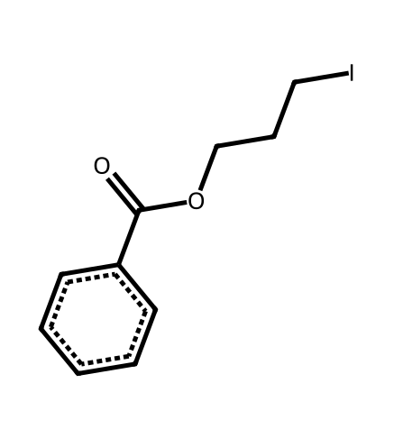 O=C(OCCCI)c1ccccc1